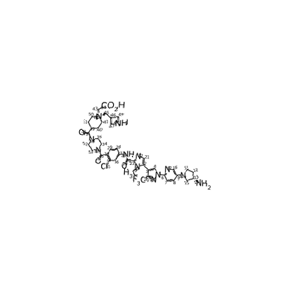 Cn1c(-c2cn(-c3ccc(N4CC[C@H](N)C4)cn3)nc2C(F)(F)F)cnc1C(=O)Nc1ccc(C(=O)N2CCN(C(=O)C3CC[N+](CC(=O)O)(CC4CNC4)CC3)CC2)c(Cl)c1